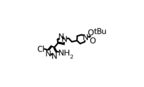 CC(C)(C)OC(=O)N1CCC(CCn2cc(-c3cc(Cl)nnc3N)cn2)CC1